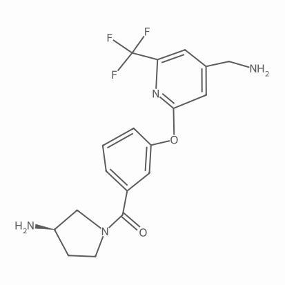 NCc1cc(Oc2cccc(C(=O)N3CC[C@@H](N)C3)c2)nc(C(F)(F)F)c1